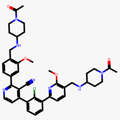 COc1cc(-c2nccc(-c3cccc(-c4ccc(CNC5CCN(C(C)=O)CC5)c(OC)n4)c3Cl)c2C#N)ccc1CNC1CCN(C(C)=O)CC1